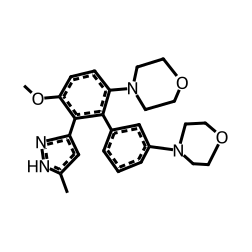 COc1ccc(N2CCOCC2)c(-c2cccc(N3CCOCC3)c2)c1-c1cc(C)[nH]n1